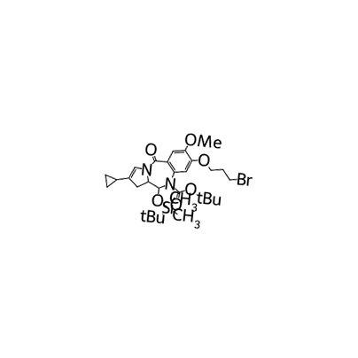 COc1cc2c(cc1OCCCBr)N(C(=O)OC(C)(C)C)C(O[Si](C)(C)C(C)(C)C)C1CC(C3CC3)=CN1C2=O